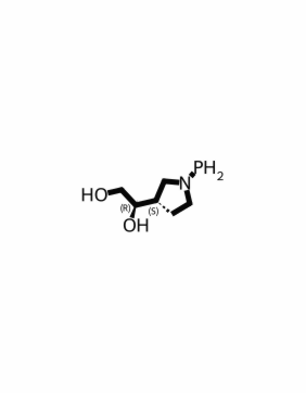 OC[C@H](O)[C@H]1CCN(P)C1